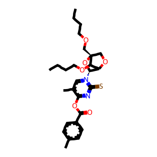 CCCCOC[C@@]12COC(C1OCCCC)[C@H](n1cc(C)c(OC(=O)c3ccc(C)cc3)nc1=S)O2